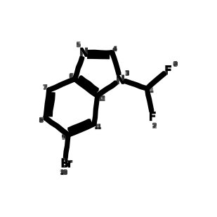 FC(F)n1cnc2ccc(Br)cc21